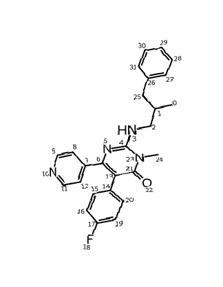 CC(CNc1nc(-c2ccncc2)c(-c2ccc(F)cc2)c(=O)n1C)Cc1ccccc1